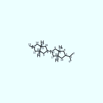 CC(C)C1C[C@@H]2CN(C3C[C@@H]4CN(C)C[C@@H]4C3)C[C@@H]2C1